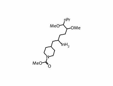 CCCC(OC)C(CC[CH]([InH2])CC1CCN(C(=O)OC)CC1)OC